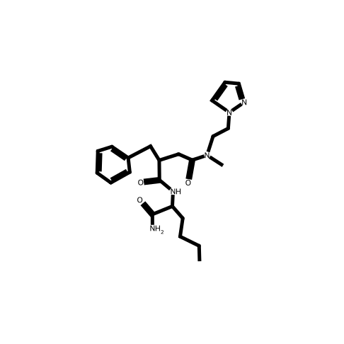 CCCCC(NC(=O)C(CC(=O)N(C)CCn1cccn1)Cc1ccccc1)C(N)=O